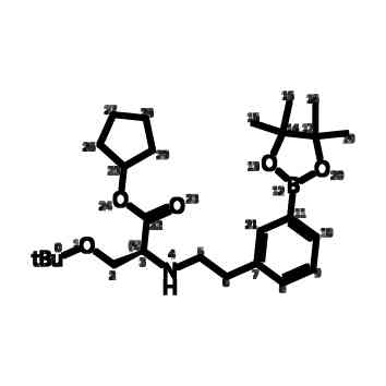 CC(C)(C)OC[C@H](NCCc1cccc(B2OC(C)(C)C(C)(C)O2)c1)C(=O)OC1CCCC1